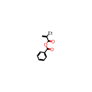 C=C(CC)C(=O)OC(=O)c1ccccc1